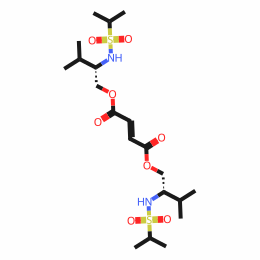 CC(C)[C@@H](COC(=O)/C=C/C(=O)OC[C@@H](NS(=O)(=O)C(C)C)C(C)C)NS(=O)(=O)C(C)C